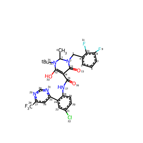 CC1N(Cc2cccc(F)c2F)C(=O)C(C(=O)Nc2ccc(Cl)cc2-c2cc(C(F)(F)F)ncn2)=C(O)N1C(C)(C)C